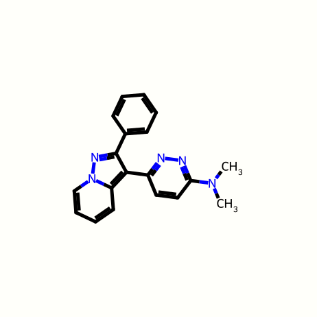 CN(C)c1ccc(-c2c(-c3ccccc3)nn3ccccc23)nn1